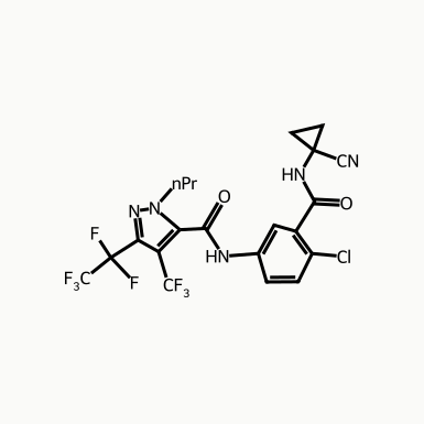 CCCn1nc(C(F)(F)C(F)(F)F)c(C(F)(F)F)c1C(=O)Nc1ccc(Cl)c(C(=O)NC2(C#N)CC2)c1